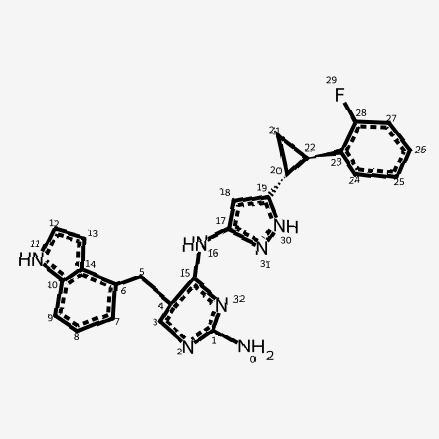 Nc1ncc(Cc2cccc3[nH]ccc23)c(Nc2cc([C@@H]3C[C@H]3c3ccccc3F)[nH]n2)n1